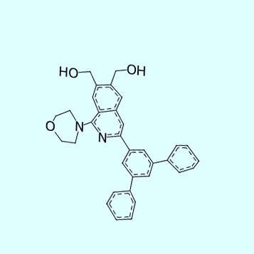 OCc1cc2cc(-c3cc(-c4ccccc4)cc(-c4ccccc4)c3)nc(N3CCOCC3)c2cc1CO